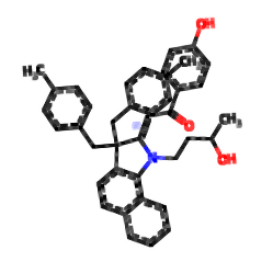 Cc1ccc(CC2(Cc3ccc(C)cc3)/C(=C/C(=O)c3ccc(O)cc3)N(CCC(C)O)c3c2ccc2ccccc32)cc1